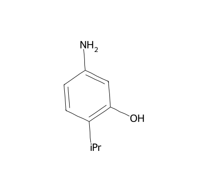 CC(C)c1ccc(N)cc1O